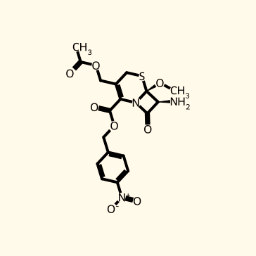 CO[C@]12SCC(COC(C)=O)=C(C(=O)OCc3ccc([N+](=O)[O-])cc3)N1C(=O)[C@@H]2N